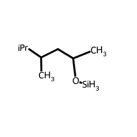 CC(CC(C)C(C)C)O[SiH3]